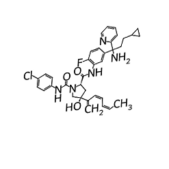 C=C(/C=C\C=C/C)[C@@]1(O)C[C@H](C(=O)Nc2cc(C(N)(CCC3CC3)c3ccccn3)ccc2F)N(C(=O)Nc2ccc(Cl)cc2)C1